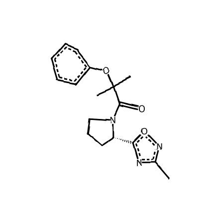 Cc1noc([C@@H]2CCCN2C(=O)C(C)(C)Oc2ccccc2)n1